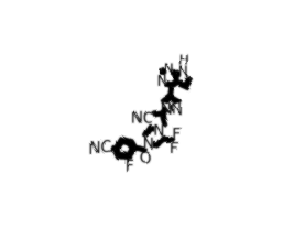 N#CCC(CN1CCN(C(=O)c2ccc(C#N)cc2F)CC1C(F)F)n1cc(-c2ncnc3[nH]ccc23)cn1